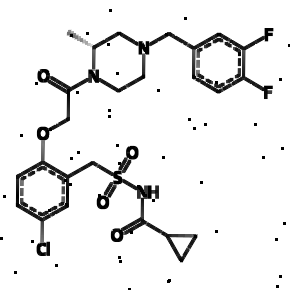 C[C@@H]1CN(Cc2ccc(F)c(F)c2)CCN1C(=O)COc1ccc(Cl)cc1CS(=O)(=O)NC(=O)C1CC1